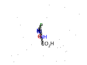 O=C(O)CCCCCNC(=O)CCCn1cc(CCCF)nn1